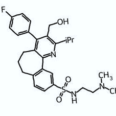 CC(C)c1nc2c(c(-c3ccc(F)cc3)c1CO)CCCc1ccc(S(=O)(=O)NCCN(C)C)cc1-2